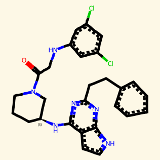 O=C(CNc1cc(Cl)cc(Cl)c1)N1CCC[C@H](Nc2nc(CCc3ccccc3)nc3[nH]ccc23)C1